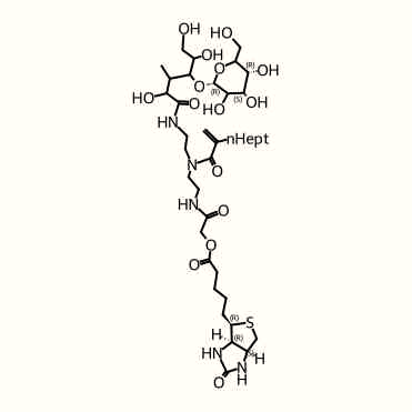 C=C(CCCCCCC)C(=O)N(CCNC(=O)COC(=O)CCCC[C@H]1SC[C@H]2NC(=O)N[C@H]21)CCNC(=O)C(O)C(C)C(O[C@@H]1OC(CO)[C@H](O)[C@H](O)C1O)C(O)CO